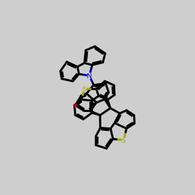 c1cc2c3c(c1)sc1cccc(c13)C13c4ccc(-n5c6ccccc6c6ccccc65)c5cccc(c45)C21c1cccc2sc4cccc3c4c12